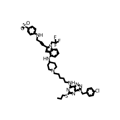 CCCSc1nc(NCCCCCN2CCC(Nc3cccc4c3cc(C#CCNc3ccc(S(C)(=O)=O)cc3)n4CC(F)(F)F)CC2)c2nnn(Cc3ccc(Cl)cc3)c2n1